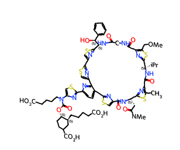 CNC(=O)C[C@@H]1NC(=O)c2csc(n2)-c2ccc(-c3nc(N(CCCCC(=O)O)C(=O)O[C@H]4CCC(C(=O)O)C[C@@H]4CCCCC(=O)O)cs3)nc2-c2csc(n2)-c2csc(n2)[C@H]([C@@H](O)c2ccccc2)NC(=O)CNC(=O)c2nc(sc2COC)[C@H](C(C)C)NC(=O)c2nc1sc2C